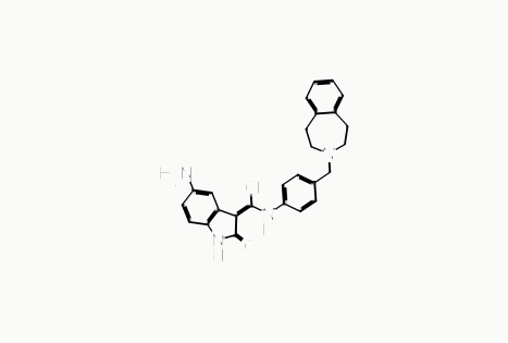 CC(Nc1ccc(CN2CCc3ccccc3CC2)cc1)=C1C(=O)Nc2ccc(N)cc21